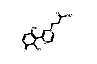 COC(=O)CCN1C=COC(C2=C(C(C)(C)C)C=CC(=O)C2C(C)C)=C1